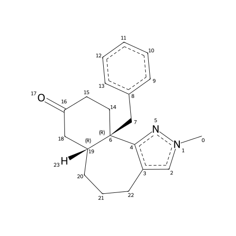 Cn1cc2c(n1)[C@@]1(Cc3ccccc3)CCC(=O)C[C@H]1CCC2